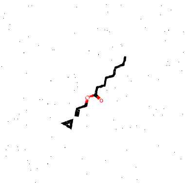 C1=CC1.C=CCOC(=O)CCCCCCC